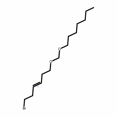 CCCCCCCOCOCC/C=C/CCBr